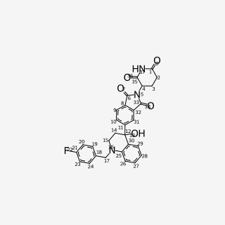 O=C1CCC(N2C(=O)c3ccc(C4(O)CCN(Cc5ccc(F)cc5)c5ccccc54)cc3C2=O)C(=O)N1